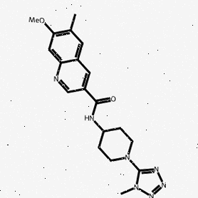 COc1cc2ncc(C(=O)NC3CCN(c4nnnn4C)CC3)cc2cc1C